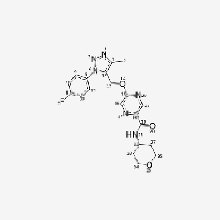 Cc1nnn(-c2ccc(F)cc2)c1COc1cnc(C(=O)NC2CCOCC2)cn1